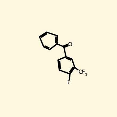 O=C(c1ccccc1)c1ccc(F)c(C(F)(F)F)c1